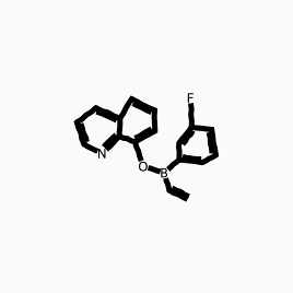 C=CB(Oc1cccc2cccnc12)c1cccc(F)c1